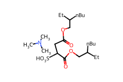 CCCCC(CC)COC(=O)CC(C(=O)OCC(CC)CCCC)S(=O)(=O)O.CN(C)C